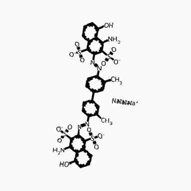 Cc1cc(-c2ccc(N=Nc3c(S(=O)(=O)[O-])c(N)c4c(O)cccc4c3S(=O)(=O)[O-])c(C)c2)ccc1N=Nc1c(S(=O)(=O)[O-])c(N)c2c(O)cccc2c1S(=O)(=O)[O-].[Na+].[Na+].[Na+].[Na+]